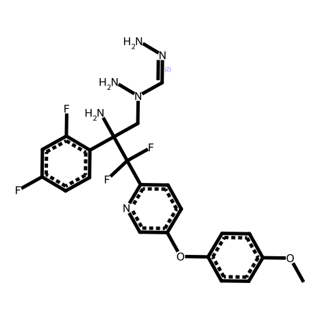 COc1ccc(Oc2ccc(C(F)(F)C(N)(CN(N)/C=N\N)c3ccc(F)cc3F)nc2)cc1